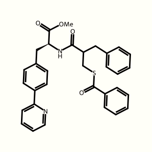 COC(=O)[C@H](Cc1ccc(-c2ccccn2)cc1)NC(=O)C(CSC(=O)c1ccccc1)Cc1ccccc1